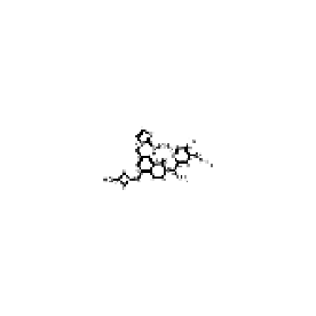 CNc1nccn1Cc1cc(CN2CC(O)C2)c2c(c1)C(=O)N(C(C)c1cc(OC)c(F)cn1)CC2